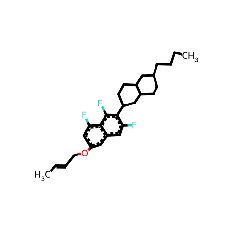 CC=CCOc1cc(F)c2c(F)c(C3CCC4CC(CCCC)CCC4C3)c(F)cc2c1